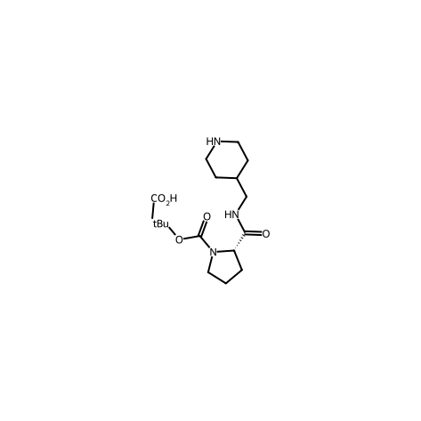 CC(=O)O.CC(C)(C)OC(=O)N1CCC[C@H]1C(=O)NCC1CCNCC1